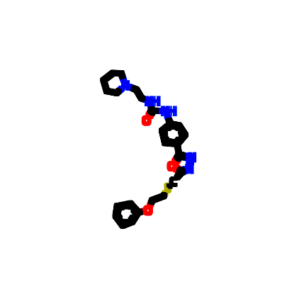 O=C(NCCN1CCCCC1)Nc1ccc(-c2nnc(CSCCOc3ccccc3)o2)cc1